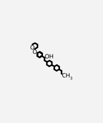 CCCC1CCC(C2CCC(CC(O)c3ccc(OC4CCCCO4)cc3)CC2)CC1